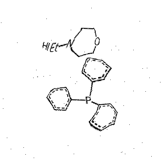 CCN1CCOCC1.I.c1ccc(P(c2ccccc2)c2ccccc2)cc1